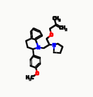 C=C(C)COCC(CN1c2ccccc2CCC1c1ccc(OC)cc1)N1CCCC1